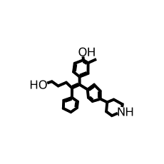 Cc1cc(/C(=C(\CCCO)C2=CCCC=C2)c2ccc(C3CCNCC3)cc2)ccc1O